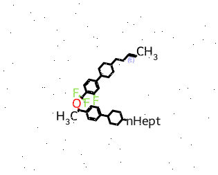 C/C=C/CCC1CCC(c2ccc(C(F)(F)OC(C)c3ccc(C4CCC(CCCCCCC)CC4)cc3)c(F)c2)CC1